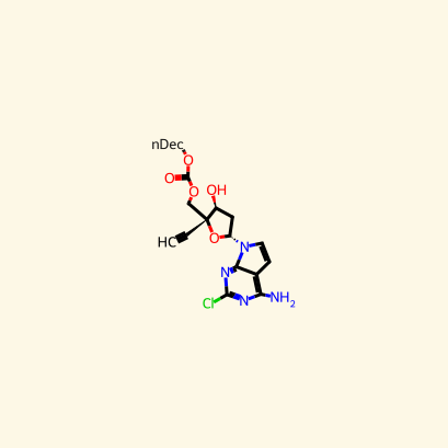 C#C[C@]1(COC(=O)OCCCCCCCCCC)O[C@@H](n2ccc3c(N)nc(Cl)nc32)C[C@@H]1O